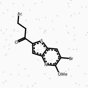 COc1nc2cc(C(=O)CCC(C)=O)sc2cc1Br